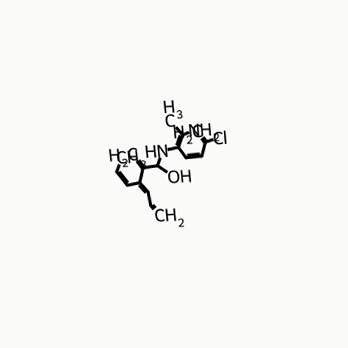 C=C/C=C(\C=C/C)C(=C)C(O)NC(/C=C\C(=C)Cl)=C(\C)N